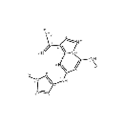 CNc1cc(Nc2cnn(C)c2)nc2c(C(N)=O)cnn12